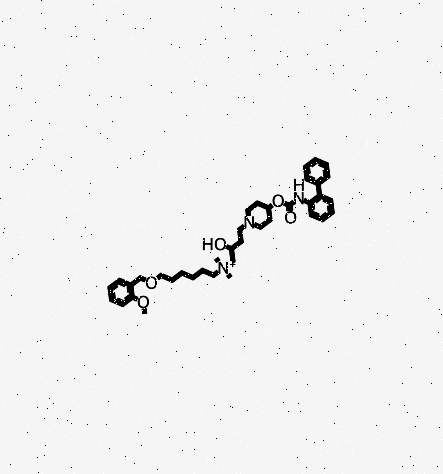 COc1ccccc1COCCCCCC[N+](C)(C)CC(O)CCN1CCC(OC(=O)Nc2ccccc2-c2ccccc2)CC1